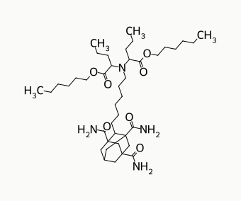 CCCCCCOC(=O)C(CCC)N(CCCCCCC1C2(C(N)=O)CC3CC(C(N)=O)(C2)CC1(C(N)=O)C3)C(CCC)C(=O)OCCCCCC